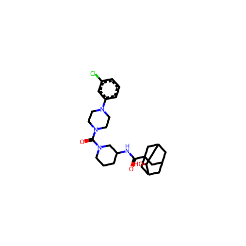 O=C(N1CCN(c2cccc(Cl)c2)CC1)N1CCCC(NC(=O)C23CC4CC(C2)C(O)C(C4)C3)C1